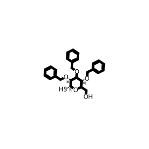 OCC1O[C@H](S)[C@H](OCc2ccccc2)C(OCc2ccccc2)[C@@H]1OCc1ccccc1